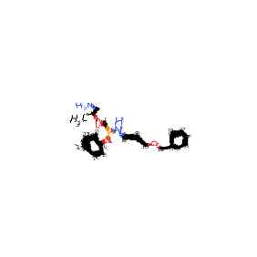 C[C@H](CN)OCP(NCCCOCc1ccccc1)Oc1ccccc1